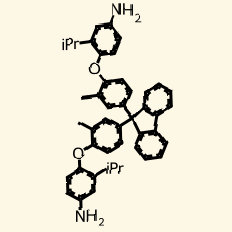 Cc1cc(C2(c3ccc(Oc4ccc(N)cc4C(C)C)c(C)c3)c3ccccc3-c3ccccc32)ccc1Oc1ccc(N)cc1C(C)C